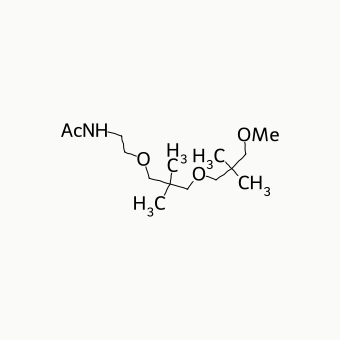 COCC(C)(C)COCC(C)(C)COCCNC(C)=O